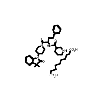 CC1(C)C(=O)N(C2CCN(C(=O)C(CCc3ccccc3)NC(=O)C3CCCNC3)CC2)c2ccccc21.O=C(O)CCCCCCCCC(=O)O